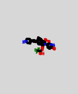 O=C(O)C(F)(F)F.O=C1CCC(N2C(=O)c3ccc(C#CC4CCNCC4)cc3C2=O)C(=O)N1